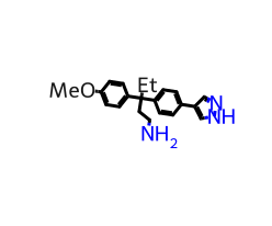 CCC(CCN)(c1ccc(OC)cc1)c1ccc(-c2cn[nH]c2)cc1